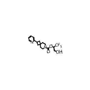 O=C(OC(CO)C(F)(F)F)N1CCC2(CC1)CC(c1ccccn1)C2